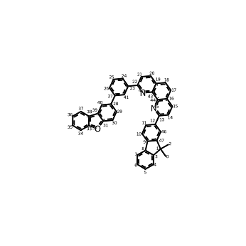 CC1(C)c2ccccc2-c2ccc(-c3ccc4ccc5ccc(-c6cccc(-c7ccc8oc9ccccc9c8c7)c6)nc5c4n3)cc21